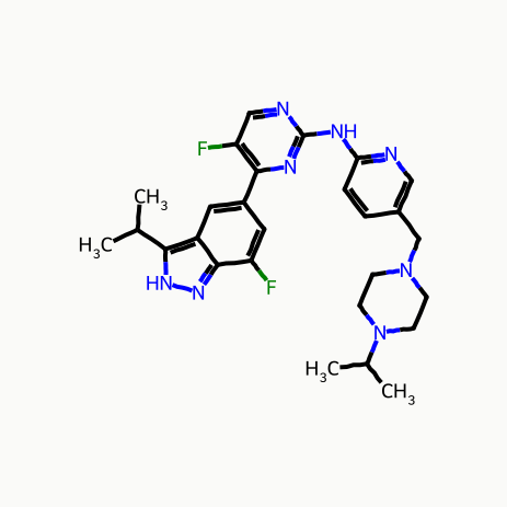 CC(C)c1[nH]nc2c(F)cc(-c3nc(Nc4ccc(CN5CCN(C(C)C)CC5)cn4)ncc3F)cc12